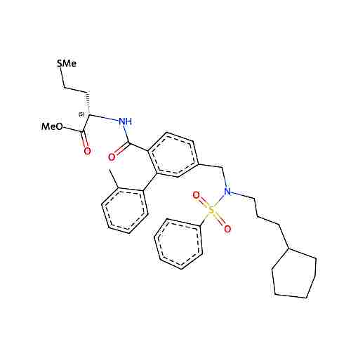 COC(=O)[C@H](CCSC)NC(=O)c1ccc(CN(CCCC2CCCCC2)S(=O)(=O)c2ccccc2)cc1-c1ccccc1C